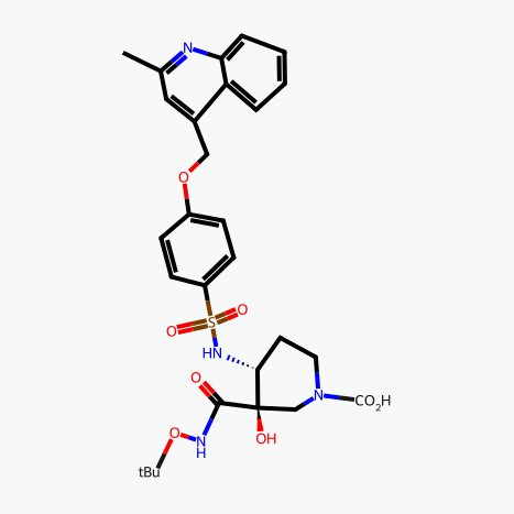 Cc1cc(COc2ccc(S(=O)(=O)N[C@@H]3CCN(C(=O)O)C[C@]3(O)C(=O)NOC(C)(C)C)cc2)c2ccccc2n1